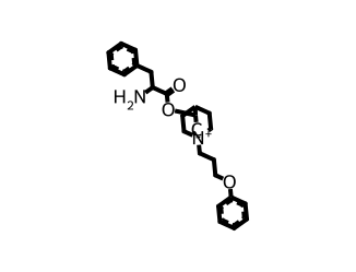 NC(Cc1ccccc1)C(=O)OC1C[N+]2(CCCOc3ccccc3)CCC1CC2